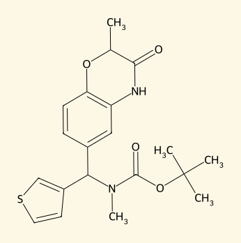 CC1Oc2ccc(C(c3ccsc3)N(C)C(=O)OC(C)(C)C)cc2NC1=O